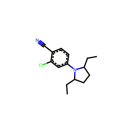 CCC1CCC(CC)N1c1ccc(C#N)c(Cl)c1